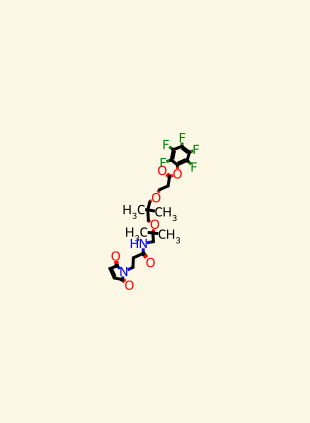 CC(C)(COCCC(=O)Oc1c(F)c(F)c(F)c(F)c1F)COC(C)(C)CNC(=O)CCN1C(=O)C=CC1=O